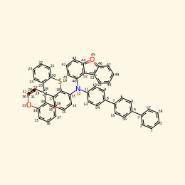 c1ccc(-c2ccc(-c3ccc(N(c4cccc5c4Sc4ccccc4[Si]54c5ccccc5Oc5ccccc54)c4cccc5oc6ccccc6c45)cc3)cc2)cc1